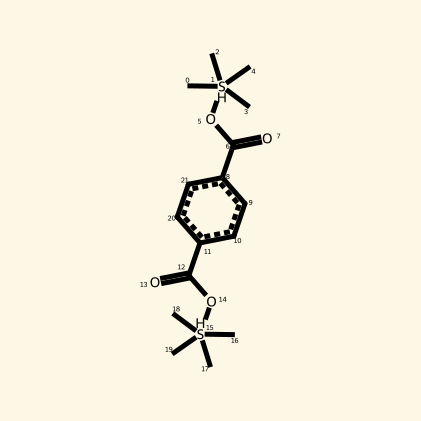 C[SH](C)(C)(C)OC(=O)c1ccc(C(=O)O[SH](C)(C)(C)C)cc1